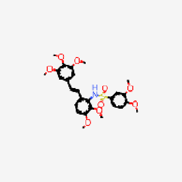 COc1ccc(S(=O)(=O)Nc2c(C=Cc3cc(OC)c(OC)c(OC)c3)ccc(OC)c2OC)cc1OC